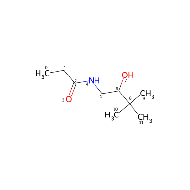 CCC(=O)NCC(O)C(C)(C)C